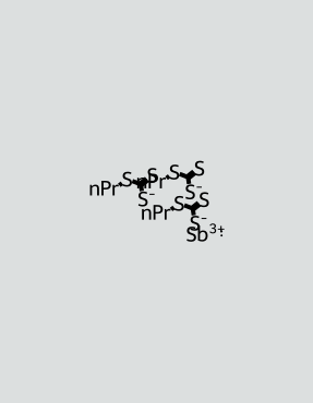 CCCSC(=S)[S-].CCCSC(=S)[S-].CCCSC(=S)[S-].[Sb+3]